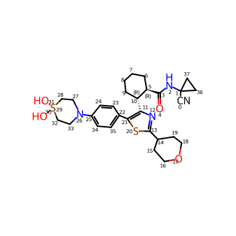 N#CC1(NC(=O)[C@@H]2CCCC[C@H]2c2nc(C3CCOCC3)sc2-c2ccc(N3CCS(O)(O)CC3)cc2)CC1